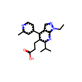 CCn1ncc2c(-c3ccnc(C)c3)c(CCC(=O)O)c(C(C)C)nc21